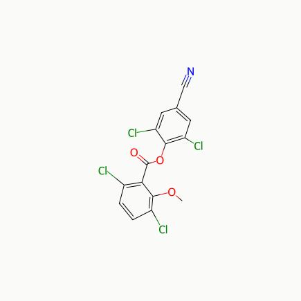 COc1c(Cl)ccc(Cl)c1C(=O)Oc1c(Cl)cc(C#N)cc1Cl